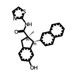 C[C@@]1(C(=O)Nc2nccs2)Cc2ccc(O)cc2[C@H]1c1ccc2ccccc2c1